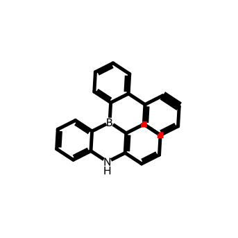 c1cccc(-c2ccccc2B2C3=C(C=CCC3)Nc3ccccc32)c#1